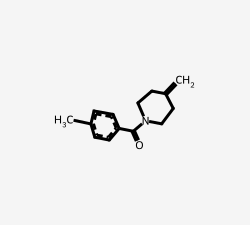 C=C1CCN(C(=O)c2ccc(C)cc2)CC1